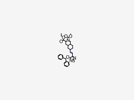 CCOC(=O)C1CC2CC(/C=C/c3nsnc3OC(c3ccccc3)c3ccccc3)CCC2CN1C(=O)OC